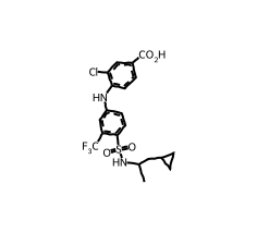 CC(CC1CC1)NS(=O)(=O)c1ccc(Nc2ccc(C(=O)O)cc2Cl)cc1C(F)(F)F